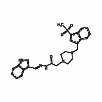 CS(=O)(=O)n1cc(CN2CCN(CC(=O)NN=Cc3c[nH]c4ccccc34)CC2)c2ccccc21